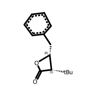 CC(C)(C)[C@@H]1C(=O)O[C@@H]1Cc1ccccc1